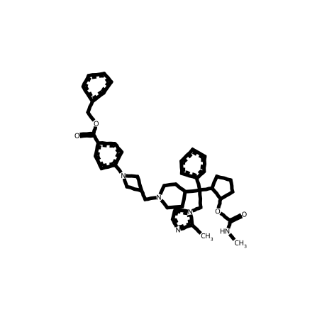 CNC(=O)OC1CCCC1C(Cn1ccnc1C)(c1ccccc1)C1CCN(CC2CN(c3ccc(C(=O)OCc4ccccc4)cc3)C2)CC1